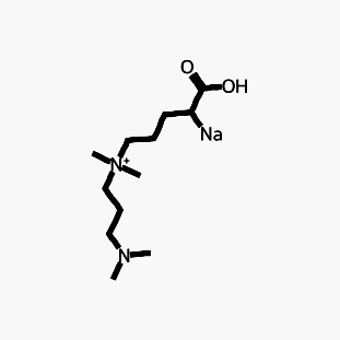 CN(C)CCC[N+](C)(C)CCC[CH]([Na])C(=O)O